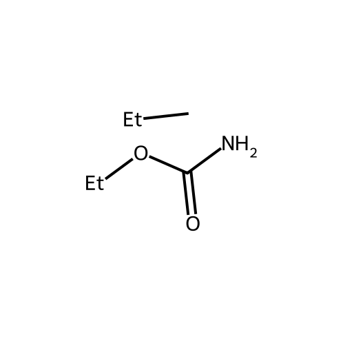 CCC.CCOC(N)=O